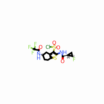 O=C(Nc1sc2c(c1S(=O)(=O)Cl)C[C@@H](NC(=O)C(F)(F)F)CC2)[C@H]1C[C@@H]1F